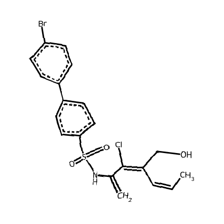 C=C(NS(=O)(=O)c1ccc(-c2ccc(Br)cc2)cc1)/C(Cl)=C(\C=C/C)CO